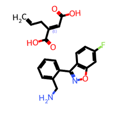 C=CC/C(=C\C(=O)O)C(=O)O.NCc1ccccc1-c1noc2cc(F)ccc12